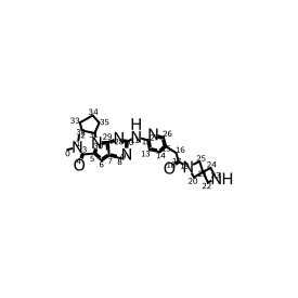 CN(C)C(=O)c1cc2cnc(Nc3ccc(CC(=O)N4CC5(CNC5)C4)cn3)nc2n1C1CCCC1